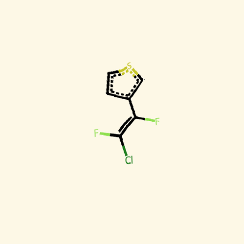 F/C(Cl)=C(/F)c1[c]scc1